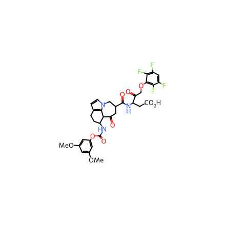 COc1cc(OC)cc(OC(=O)NC2CCc3ccn4c3C2C(=O)CC(C(=O)NC(CC(=O)O)C(=O)COc2c(F)c(F)cc(F)c2F)C4)c1